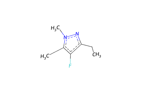 CCc1nn(C)c(C)c1F